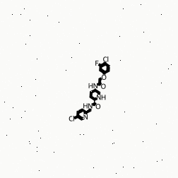 O=C(COc1ccc(Cl)c(F)c1)N[C@H]1CC[C@H](C(=O)NCc2ccc(Cl)cn2)NC1